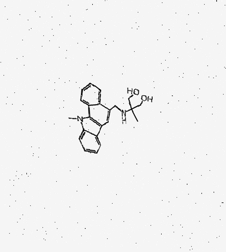 Cn1c2ccccc2c2cc(CNC(C)(CO)CO)c3ccccc3c21